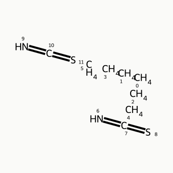 C.C.C.C.C.C.N=C=S.N=C=S